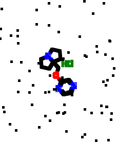 Cl.c1cnc(OCC23CCCN2CCC3)cn1